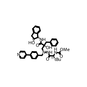 COC(=O)N[C@H](C(=O)NN(Cc1ccc(-c2ccncc2)cc1)C[C@](O)(Cc1ccccc1)C(=O)N[C@H]1c2ccccc2C[C@H]1O)C(C)(C)C